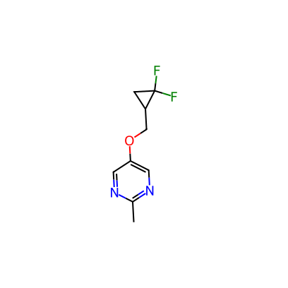 Cc1ncc(OCC2CC2(F)F)cn1